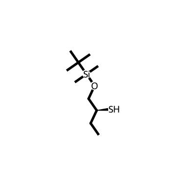 CC[C@H](S)CO[Si](C)(C)C(C)(C)C